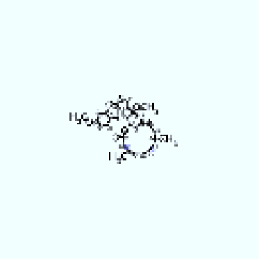 COc1ccc(CN2C(=O)SC[C@H]2[C@@]2(OC)CC3C[C@@H](CC[C@H](C)/C=C\CC/C(C)=C\C(=O)O3)O2)cc1